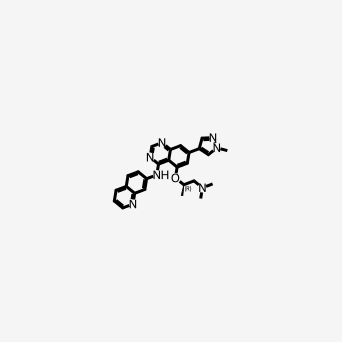 C[C@H](CN(C)C)Oc1cc(-c2cnn(C)c2)cc2ncnc(Nc3ccc4cccnc4c3)c12